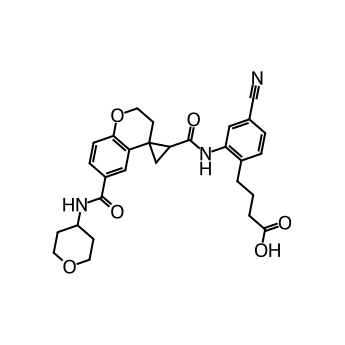 N#Cc1ccc(CCCC(=O)O)c(NC(=O)C2CC23CCOc2ccc(C(=O)NC4CCOCC4)cc23)c1